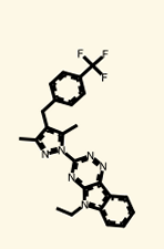 CCn1c2ccccc2c2nnc(-n3nc(C)c(Cc4ccc(C(F)(F)F)cc4)c3C)nc21